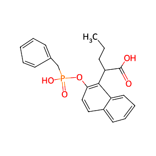 CCCC(C(=O)O)c1c(OP(=O)(O)Cc2ccccc2)ccc2ccccc12